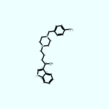 Nc1ccc(CN2CCN(CCCC(O)c3csc4ccccc34)CC2)cc1